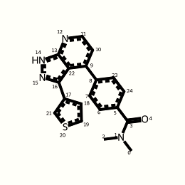 CN(C)C(=O)c1ccc(-c2ccnc3[nH]nc(-c4ccsc4)c23)cc1